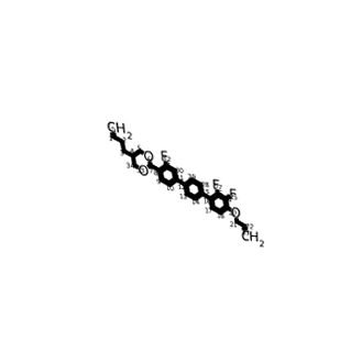 C=CCCC1COC(c2ccc(-c3ccc(-c4ccc(OCC=C)c(F)c4F)cc3)cc2F)OC1